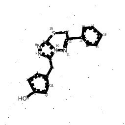 Oc1ccc(Cc2nnc3n2N=C(c2ccccc2)CS3)cc1